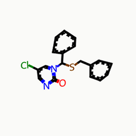 O=c1ncc(Cl)cn1C(SCc1ccccc1)c1ccccc1